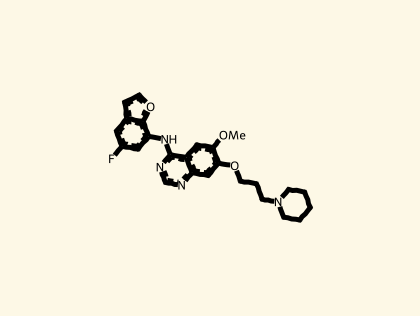 COc1cc2c(Nc3cc(F)cc4ccoc34)ncnc2cc1OCCCN1CCCCC1